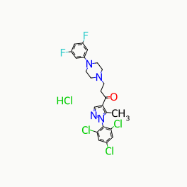 Cc1c(C(=O)CCN2CCN(c3cc(F)cc(F)c3)CC2)cnn1-c1c(Cl)cc(Cl)cc1Cl.Cl